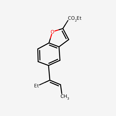 CC=C(CC)c1ccc2oc(C(=O)OCC)cc2c1